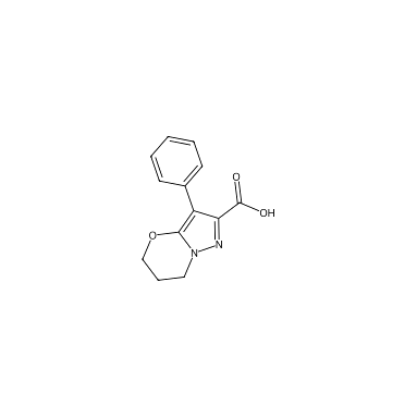 O=C(O)c1nn2c(c1-c1ccccc1)OCCC2